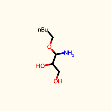 CCCCCOC(N)C(O)CO